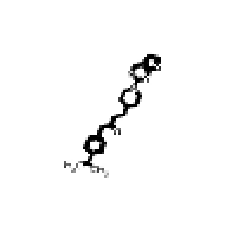 CC(C)c1ccc(CC(=O)CCC2CCN(c3ncc4ccsc4n3)CC2)cc1